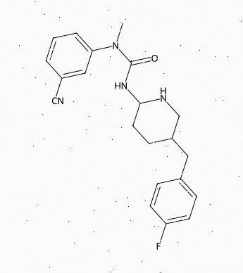 CN(C(=O)NC1CCC(Cc2ccc(F)cc2)CN1)c1cccc(C#N)c1